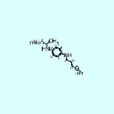 CCCCCCCCCC(C)Nc1ccc(NCCCOC(C)C)cc1